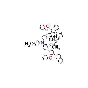 Cc1ccc(N(c2ccc3c(c2)C(C)(C)c2cc(-c4ccc5ccccc5c4)c4oc5ccccc5c4c2-3)c2ccc3c(c2)C(C)(C)c2c4c(c5oc6ccccc6c5c2-3)-c2ccccc2C4(C)C)cc1